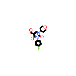 O=Cc1cn(C2CCOCC2)c(=O)n(-c2ccc(F)cc2)c1=O